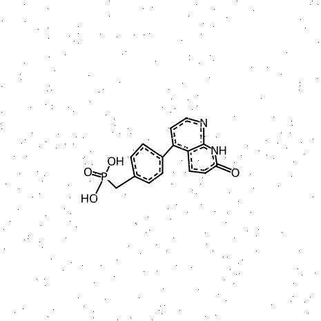 O=c1ccc2c(-c3ccc(CP(=O)(O)O)cc3)ccnc2[nH]1